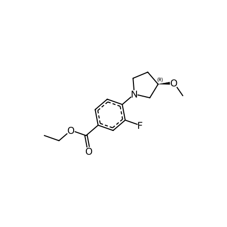 CCOC(=O)c1ccc(N2CC[C@@H](OC)C2)c(F)c1